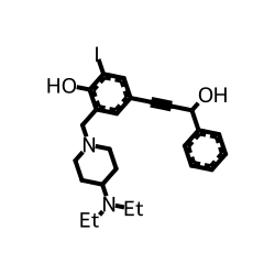 CCN(CC)C1CCN(Cc2cc(C#CC(O)c3ccccc3)cc(I)c2O)CC1